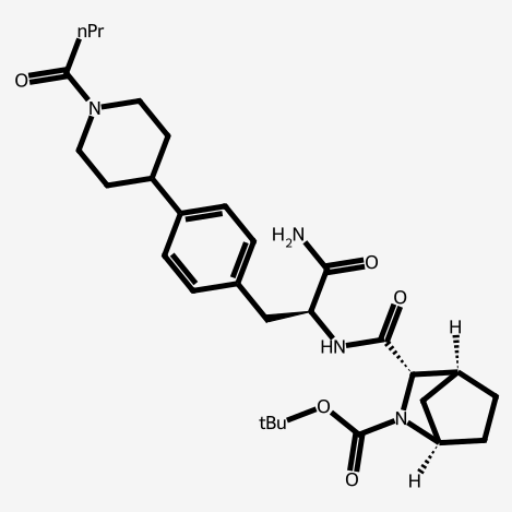 CCCC(=O)N1CCC(c2ccc(C[C@H](NC(=O)[C@@H]3[C@H]4CC[C@H](C4)N3C(=O)OC(C)(C)C)C(N)=O)cc2)CC1